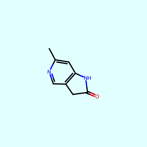 Cc1cc2c(cn1)CC(=O)N2